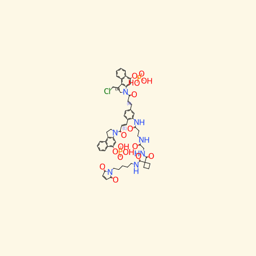 O=C(CNC(=O)C1(C(=O)NCCCCCN2C(=O)C=CC2=O)CCC1)NCCC(=O)Nc1cc(/C=C/C(=O)N2C[C@@H](CCl)c3c2cc(OP(=O)(O)O)c2ccccc32)ccc1/C=C/C(=O)N1CCc2c1cc(OP(=O)(O)O)c1ccccc21